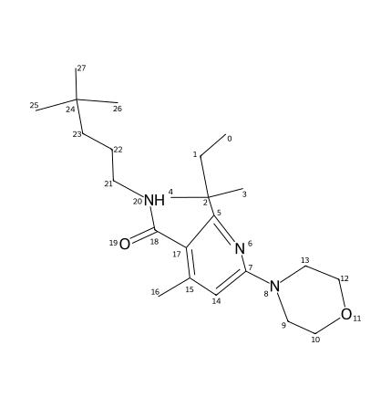 CCC(C)(C)c1nc(N2CCOCC2)cc(C)c1C(=O)NCCCC(C)(C)C